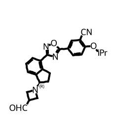 CC(C)Oc1ccc(-c2nc(-c3cccc4c3CC[C@H]4N3CC(C=O)C3)no2)cc1C#N